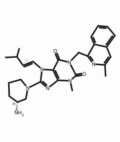 Cc1cc2ccccc2c(Cn2c(=O)c3c(nc(N4CCC[C@@H](N)C4)n3/C=C/C(C)C)n(C)c2=O)n1